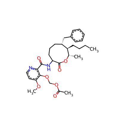 CCCC[C@@H]1[C@@H](Cc2ccccc2)CCCC(NC(=O)c2nccc(OC)c2OCOC(C)=O)C(=O)O[C@H]1C